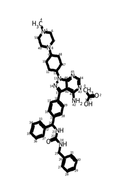 CC(=O)O.CN1CCN(C2CCC(n3nc(-c4ccc(C(NC(=O)NCc5ccccc5)c5ccccc5)cc4)c4c(N)ncnc43)CC2)CC1